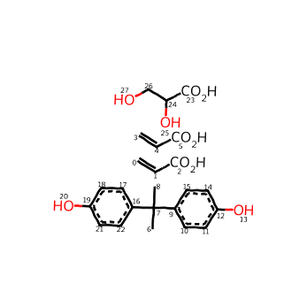 C=CC(=O)O.C=CC(=O)O.CC(C)(c1ccc(O)cc1)c1ccc(O)cc1.O=C(O)C(O)CO